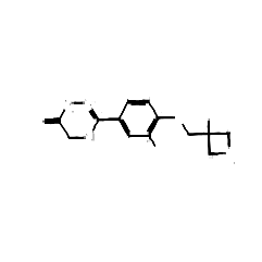 CC1(COc2ccc(C3=NNC(=O)CN3)cc2C(F)(F)F)COC1